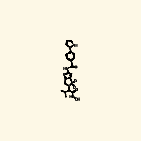 CC(C)C(C(=O)NO)N1Cc2sc(NC(=O)c3ccc(N4C=CCN4)cc3)cc2S1(=O)=O